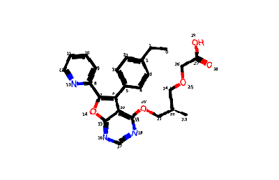 CCc1ccc(-c2c(-c3ccccn3)oc3ncnc(OC[C@H](C)COCC(=O)O)c23)cc1